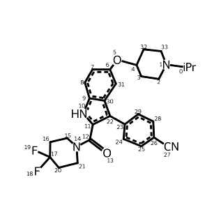 CC(C)N1CCC(Oc2ccc3[nH]c(C(=O)N4CCC(F)(F)CC4)c(-c4ccc(C#N)cc4)c3c2)CC1